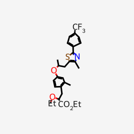 CCOC(=O)C(Cc1ccc(OC(C)Cc2sc(-c3ccc(C(F)(F)F)cc3)nc2C)cc1C)OCC